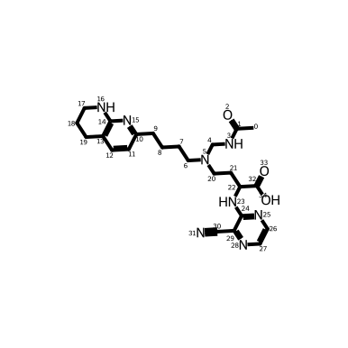 CC(=O)NCN(CCCCc1ccc2c(n1)NCCC2)CCC(Nc1nccnc1C#N)C(=O)O